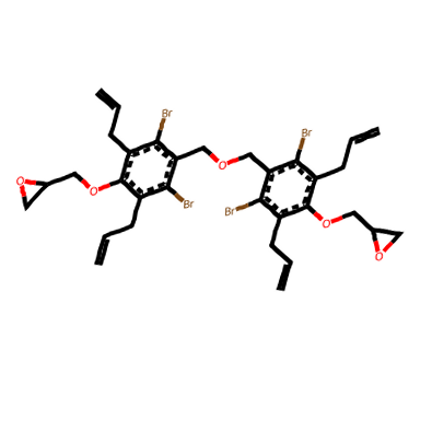 C=CCc1c(Br)c(COCc2c(Br)c(CC=C)c(OCC3CO3)c(CC=C)c2Br)c(Br)c(CC=C)c1OCC1CO1